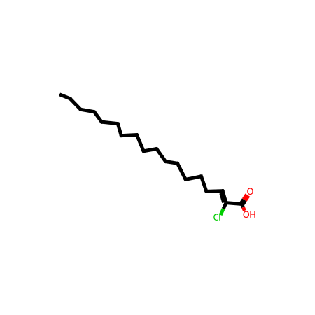 CCCCCCCCCCCCCCCC=C(Cl)C(=O)O